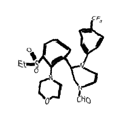 CCS(=O)(=O)c1cccc(C2CN(C=O)CCN2c2ccc(C(F)(F)F)cc2)c1N1CCOCC1